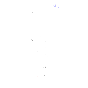 CCOC(=O)c1ccc2c(c1)NC(=O)/C2=C(\Nc1ccc(CN(C)CCCN)cc1)c1ccccc1